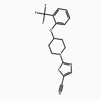 N#Cc1cnc(N2CCC(Oc3ccccc3C(F)(F)F)CC2)s1